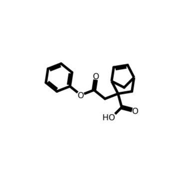 O=C(CC1(C(=O)O)CC2C=CC1C2)Oc1ccccc1